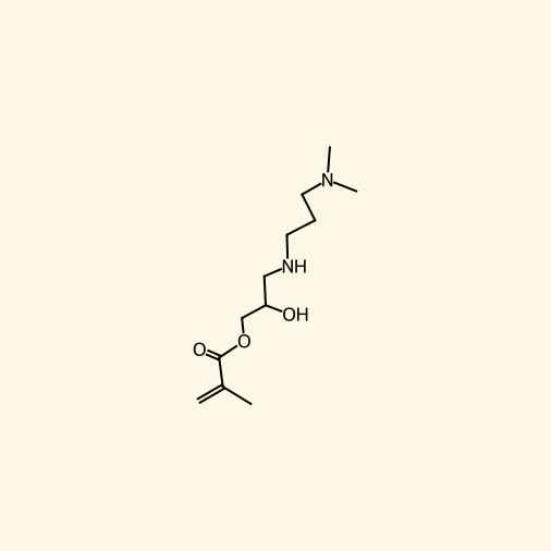 C=C(C)C(=O)OCC(O)CNCCCN(C)C